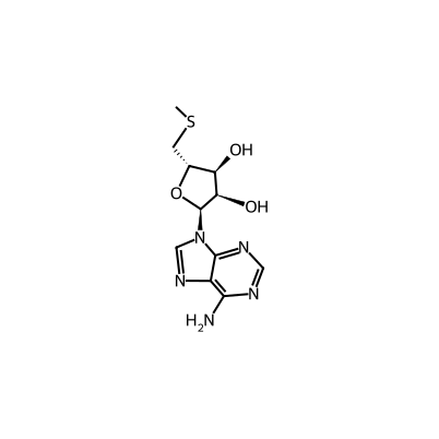 CSC[C@H]1O[C@H](n2cnc3c(N)ncnc32)[C@H](O)[C@@H]1O